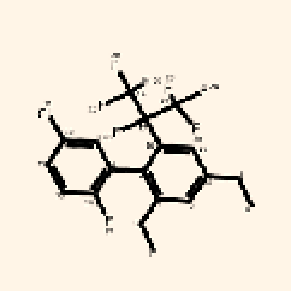 CCc1[c]c(CC)c(-c2cc(Cl)ccc2F)c(C(F)(C(F)(F)F)C(F)(F)F)c1